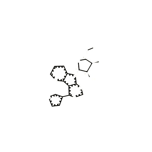 OC[C@H]1O[C@@H](n2c3cccnc3c3c(-c4ccoc4)ncnc32)[C@H](O)[C@@H]1O